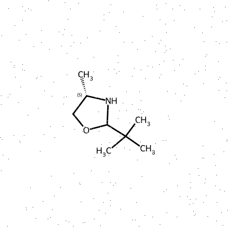 C[C@H]1COC(C(C)(C)C)N1